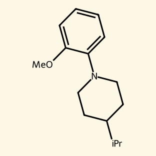 COc1ccccc1N1CCC(C(C)C)CC1